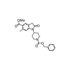 COC(=O)c1cc2c(cc1C)N(C1CCN(C(=O)OCc3ccccc3)CC1)C(=O)C2